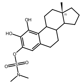 CN(C)S(=O)(=O)Oc1cc2c(c(O)c1O)C1CC[C@]3(C)CCCC3C1CC2